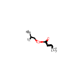 CCCCC(CC)COC(=O)C=CC(Cl)(Cl)Cl